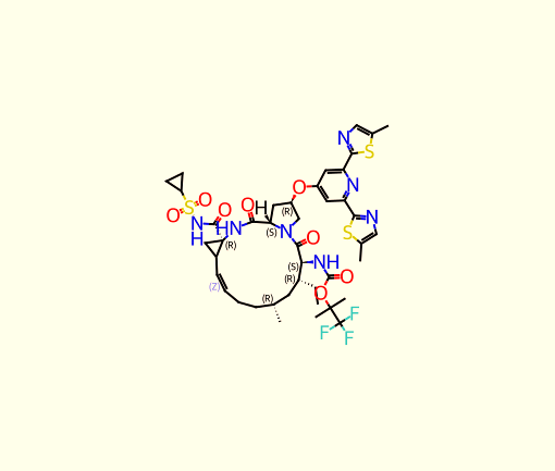 CC[C@@H]1C[C@H](C)CC/C=C\C2C[C@@]2(C(=O)NS(=O)(=O)C2CC2)NC(=O)[C@@H]2C[C@@H](Oc3cc(-c4ncc(C)s4)nc(-c4ncc(C)s4)c3)CN2C(=O)[C@H]1NC(=O)OC(C)(C)C(F)(F)F